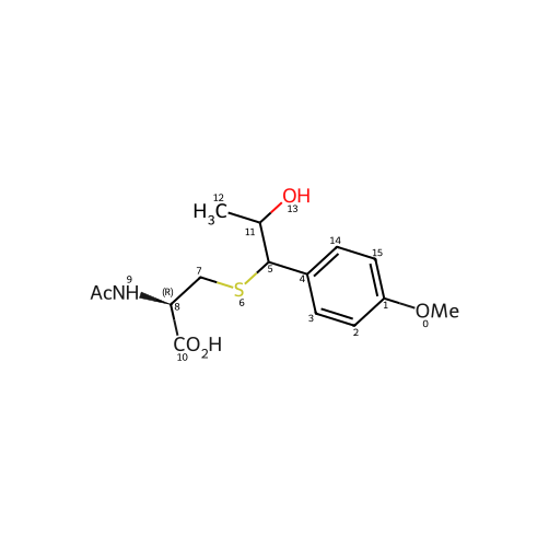 COc1ccc(C(SC[C@H](NC(C)=O)C(=O)O)C(C)O)cc1